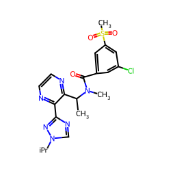 CC(c1nccnc1-c1ncn(C(C)C)n1)N(C)C(=O)c1cc(Cl)cc(S(C)(=O)=O)c1